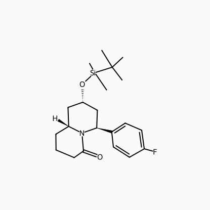 CC(C)(C)[Si](C)(C)O[C@H]1C[C@H]2CCCC(=O)N2[C@H](c2ccc(F)cc2)C1